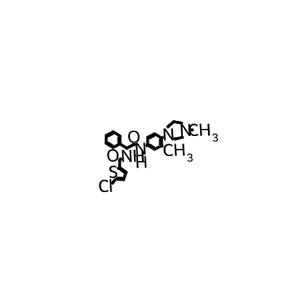 Cc1cc(NC(=O)C(NC(=O)c2ccc(Cl)s2)c2ccccc2)ccc1N1CCCN(C)CC1